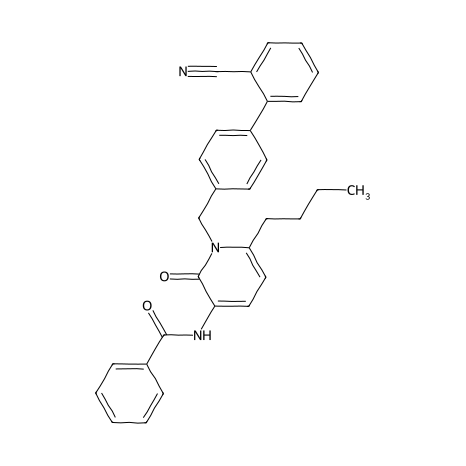 CCCCc1ccc(NC(=O)c2ccccc2)c(=O)n1Cc1ccc(-c2ccccc2C#N)cc1